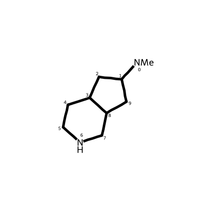 CNC1CC2CCNCC2C1